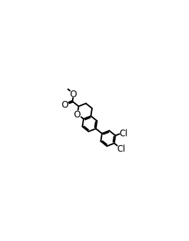 COC(=O)C1CCc2cc(-c3ccc(Cl)c(Cl)c3)ccc2O1